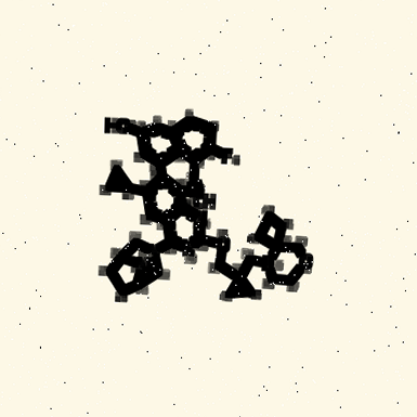 C#Cc1c(F)ccc2cc(O)cc(-c3c(C4CC4)cc4c(N5CC6CCC(C5)N6)nc(OCC5(CN6CCOCC67CCC7)CC5)nc4c3F)c12